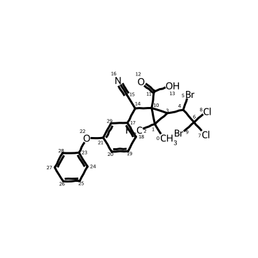 CC1(C)C(C(Br)C(Cl)(Cl)Br)C1(C(=O)O)C(C#N)c1cccc(Oc2ccccc2)c1